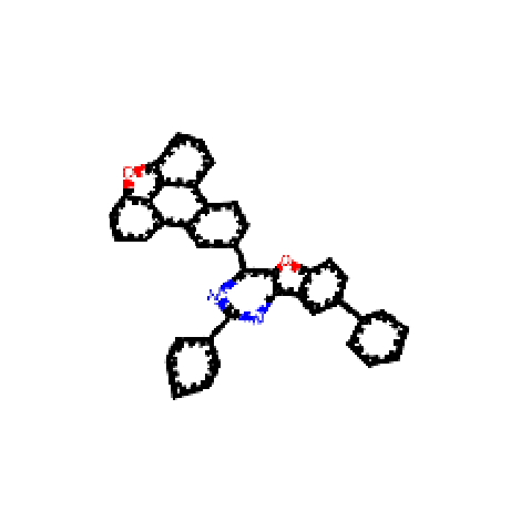 c1ccc(-c2ccc3oc4c(-c5ccc6c(c5)c5cccc7oc8cccc6c8c75)nc(-c5ccccc5)nc4c3c2)cc1